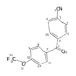 N#Cc1ccc(C(=O)c2ccc(OC(F)(F)F)cc2)cc1